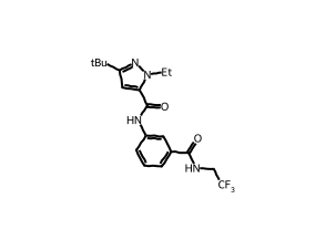 CCn1nc(C(C)(C)C)cc1C(=O)Nc1cccc(C(=O)NCC(F)(F)F)c1